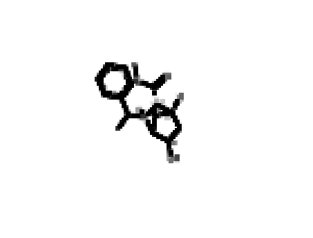 COC(=O)[C@@H]1[C@@H]2C[C@@H](O)C([C@H]2F)N1C(C)c1ccccc1